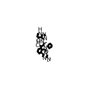 C[C@H](Nc1ncnc2[nH]ccc(=O)c12)c1c(Cl)c2cccc(-c3cnc(N(C)C)cn3)c2c(=O)n1-c1ccccc1